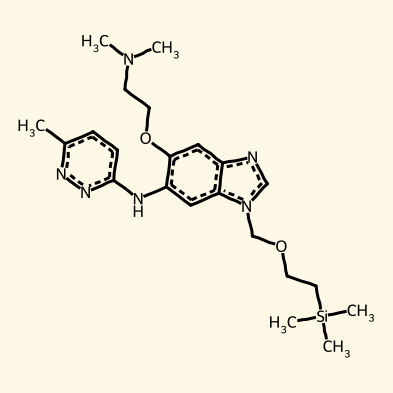 Cc1ccc(Nc2cc3c(cc2OCCN(C)C)ncn3COCC[Si](C)(C)C)nn1